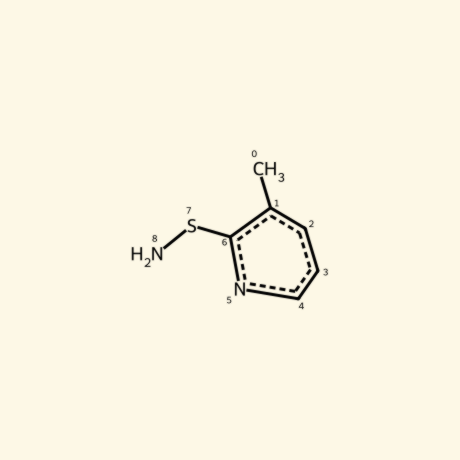 Cc1cccnc1SN